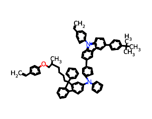 C=Cc1ccc(OCC(C)CCCCC2(c3ccccc3)c3ccccc3-c3ccc(N(c4ccccc4)c4ccc(-c5ccc6c(c5)c5cc(-c7ccc(C(C)(C)C)cc7)ccc5n6-c5ccc(C=C)cc5)cc4)cc32)cc1